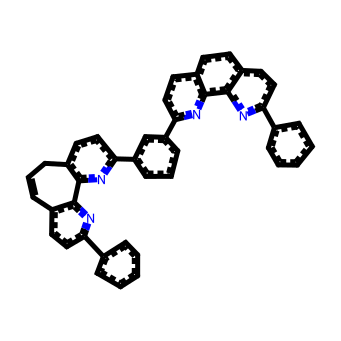 C1=Cc2ccc(-c3ccccc3)nc2-c2nc(-c3cccc(-c4ccc5ccc6ccc(-c7ccccc7)nc6c5n4)c3)ccc2C1